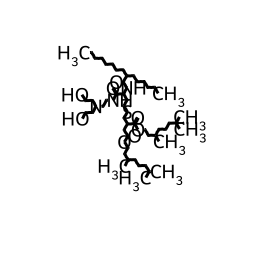 CCCCCCCCC(CCCCCC)C(=O)NC(CCSCC(CC(=O)OCCC(C)CCCC(C)C)C(=O)OCCC(C)CCCC(C)C)C(=O)NCCN(CCO)CCO